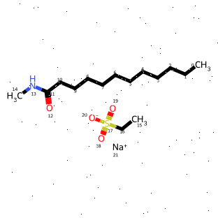 CCCCCCCCCCCC(=O)NC.CCS(=O)(=O)[O-].[Na+]